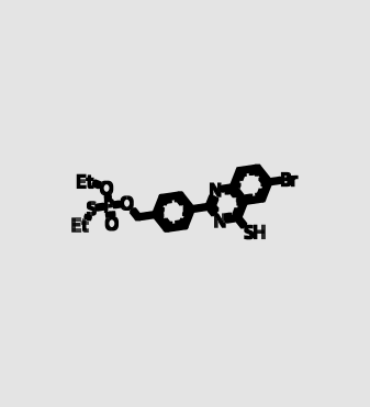 CCOP(=O)(OCc1ccc(-c2nc(S)c3cc(Br)ccc3n2)cc1)SCC